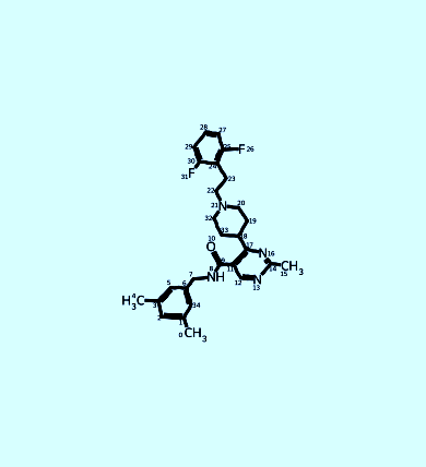 Cc1cc(C)cc(CNC(=O)c2cnc(C)nc2C2CCN(CCc3c(F)cccc3F)CC2)c1